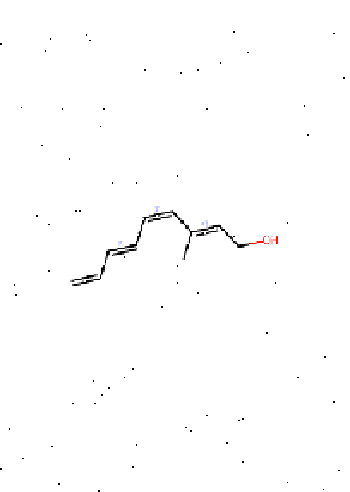 C=C/C=C/C=C\C(C)=C\CO